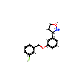 Fc1cccc(COc2cccc([C@H]3CCON3)c2)c1